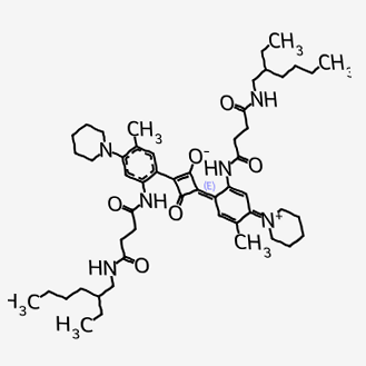 CCCCC(CC)CNC(=O)CCC(=O)NC1=CC(=[N+]2CCCCC2)C(C)=C/C1=C1\C(=O)C(c2cc(C)c(N3CCCCC3)cc2NC(=O)CCC(=O)NCC(CC)CCCC)=C1[O-]